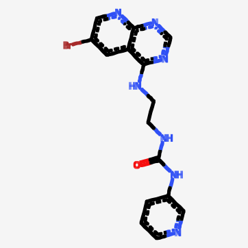 O=C(NCCNc1ncnc2ncc(Br)cc12)Nc1cccnc1